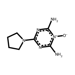 Nc1nc(N2CCCC2)nc(N)[n+]1[O-]